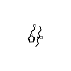 CCCCCCC.Cl.ClCCn1cccc1